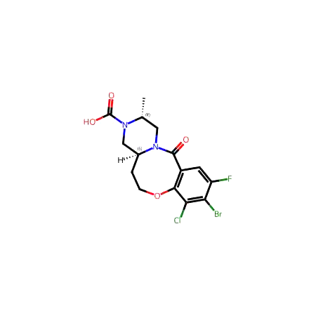 C[C@@H]1CN2C(=O)c3cc(F)c(Br)c(Cl)c3OCC[C@H]2CN1C(=O)O